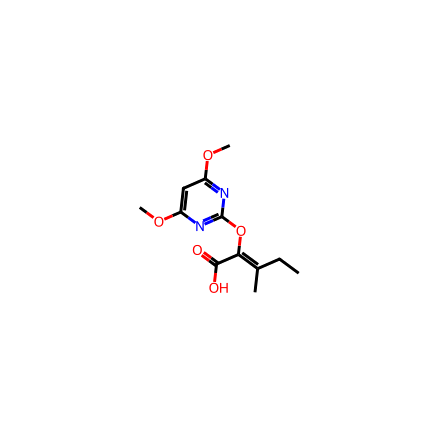 CCC(C)=C(Oc1nc(OC)cc(OC)n1)C(=O)O